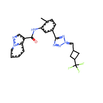 Cc1ccc(C2=N/[N+](=C/C3CC(C(F)(F)F)C3)N=N2)cc1NC(=O)c1cnn2ccccc12